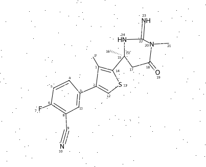 Cc1c(-c2ccc(F)c(C#N)c2)csc1[C@]1(C)CC(=O)N(C)C(=N)N1